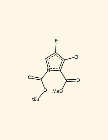 COC(=O)c1c(Cl)c(Br)cn1C(=O)OC(C)(C)C